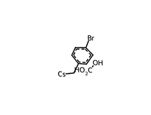 Brc1ccc([CH2][Cs])cc1.O=C(O)O